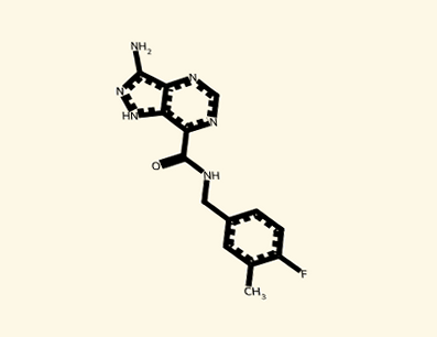 Cc1cc(CNC(=O)c2ncnc3c(N)n[nH]c23)ccc1F